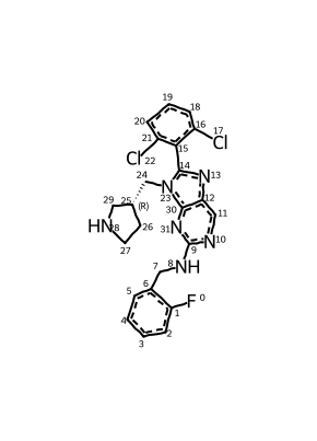 Fc1ccccc1CNc1ncc2nc(-c3c(Cl)cccc3Cl)n(C[C@@H]3CCNC3)c2n1